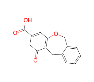 O=C(O)C1=CC2=C(Cc3ccccc3CO2)C(=O)C1